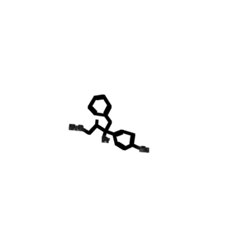 COCC(C)C(Cc1ccccc1)(c1ccc(C(C)(C)C)cc1)C(C)C